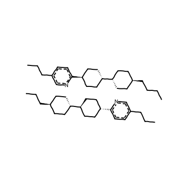 CCCC[C@H]1CC[C@H]([C@H]2CC[C@H](c3ccc(CCC)cn3)CC2)CC1.CCCc1ccc([C@H]2CC[C@H]([C@H]3CC[C@H](CCC)CC3)CC2)nc1